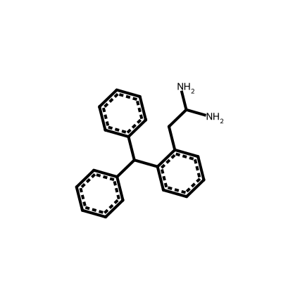 NC(N)Cc1ccccc1C(c1ccccc1)c1ccccc1